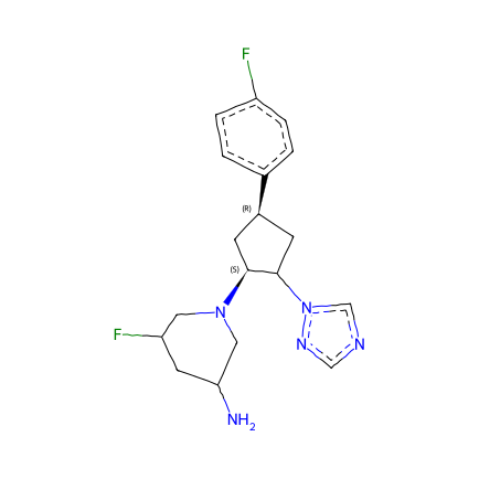 NC1CC(F)CN([C@H]2C[C@@H](c3ccc(F)cc3)CC2n2cncn2)C1